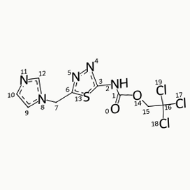 O=C(Nc1nnc(Cn2ccnc2)s1)OCC(Cl)(Cl)Cl